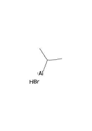 Br.C[CH](C)[Al]